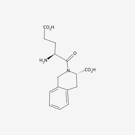 N[C@@H](CCC(=O)O)C(=O)N1Cc2ccccc2C[C@H]1C(=O)O